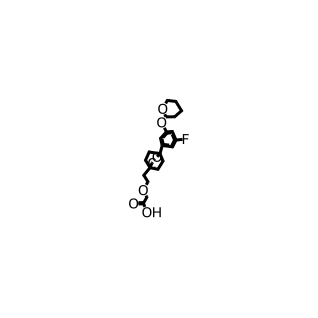 O=C(O)COCCC12CCC(c3cc(F)cc(OC4CCCCO4)c3)(CC1)OC2